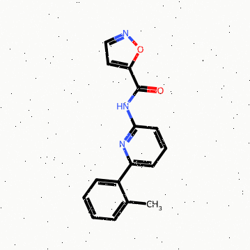 Cc1ccccc1-c1cccc(NC(=O)c2ccno2)n1